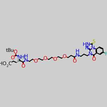 CC(C)(C)OC(=O)N[C@@H](CCC(=O)O)C(=O)NCCOCCOCCOCCOCCC(=O)NCCCn1c(=O)c2cc(F)ccc2n2c(=S)[nH]nc12